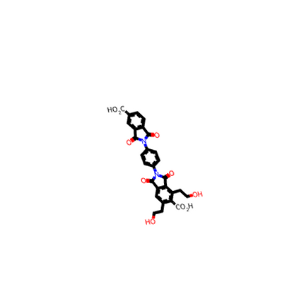 O=C(O)c1ccc2c(c1)C(=O)N(c1ccc(N3C(=O)c4cc(CCO)c(C(=O)O)c(CCO)c4C3=O)cc1)C2=O